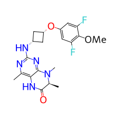 COc1c(F)cc(O[C@H]2C[C@@H](Nc3nc(C)c4c(n3)N(C)[C@@H](C)C(=O)N4)C2)cc1F